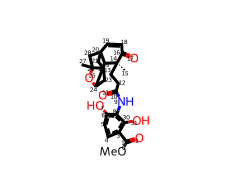 COC(=O)c1ccc(O)c(NC(=O)CC[C@]2(C)C(=O)C=CC34CC5CC(OC5(C)C3)C42)c1O